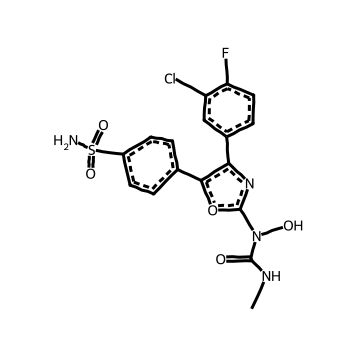 CNC(=O)N(O)c1nc(-c2ccc(F)c(Cl)c2)c(-c2ccc(S(N)(=O)=O)cc2)o1